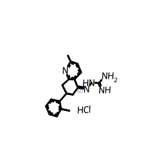 Cc1ccc2c(n1)CC(c1ccccc1C)C/C2=N/NC(=N)N.Cl